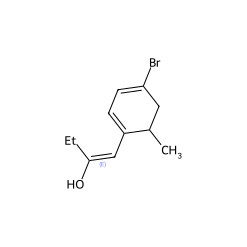 CC/C(O)=C\C1=CC=C(Br)CC1C